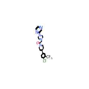 O=C(CN1CCN(c2cnccn2)CC1)N1CC=C(c2ccc(Cl)c(C(F)(F)F)c2)CC1